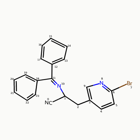 N#CC(Cc1ccc(Br)nc1)N=C(c1ccccc1)c1ccccc1